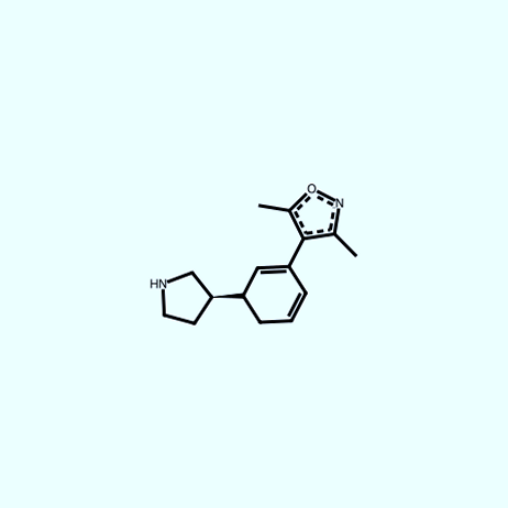 Cc1noc(C)c1C1=CC([C@H]2CCNC2)CC=C1